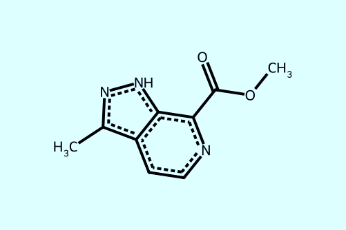 COC(=O)c1nccc2c(C)n[nH]c12